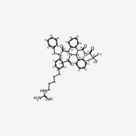 N=C(N)NCCCCCc1ccc2c(c1)C(=O)N(C(CC(=O)OC(=O)C(F)(F)F)c1ccccc1)C(c1ccccc1)C(=O)N2Cc1ccccc1